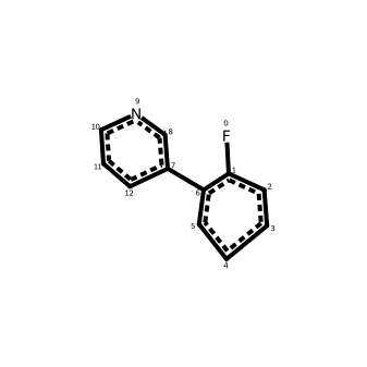 Fc1ccccc1-c1[c]nccc1